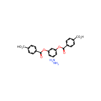 N.N.O=C(O)c1ccc(C(=O)Oc2cccc(OC(=O)c3ccc(C(=O)O)cc3)c2)cc1